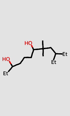 CCC(O)CCCC(O)C(C)(C)CC(CC)CC